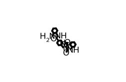 Nc1ccccc1NC(=O)c1ccc(CN2C(=O)Nc3ccccc3S2(=O)=O)nc1